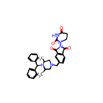 CC1CN(Cc2ccc3c(c2)C(=O)N(N2CCC(=O)NC2=O)C3=O)CC(C)N1C(c1ccccc1)c1ccccc1